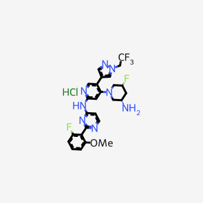 COc1cccc(F)c1-c1nccc(Nc2cc(N3C[C@@H](N)C[C@H](F)C3)c(-c3cnn(CC(F)(F)F)c3)cn2)n1.Cl